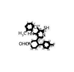 Cc1ccccc1Nc1c(C2CN(C=O)CCC2c2ccc(F)cc2)cnc(S)c1Cl